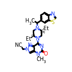 CC[C@H]1CN(C(C)c2ccc3ncsc3c2)[C@H](CC)CN1c1nc(=O)n(C)c2cn(CC#N)nc12